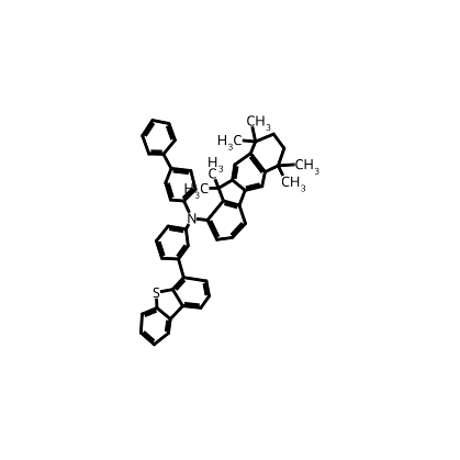 CC1(C)CCC(C)(C)c2cc3c(cc21)-c1cccc(N(c2ccc(-c4ccccc4)cc2)c2cccc(-c4cccc5c4sc4ccccc45)c2)c1C3(C)C